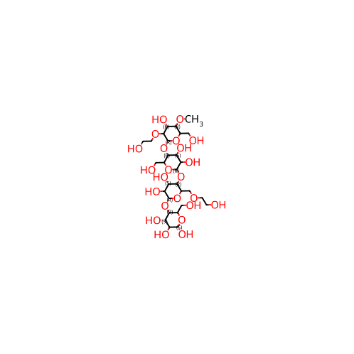 CO[C@H]1C(CO)O[C@H](O[C@H]2C(CO)O[C@H](O[C@H]3C(COCCO)O[C@H](O[C@H]4C(CO)O[C@H](O)C(O)[C@@H]4O)C(O)[C@@H]3O)C(O)[C@@H]2O)C(OCCO)[C@@H]1O